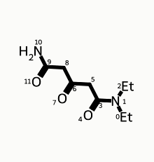 CCN(CC)C(=O)CC(=O)CC(N)=O